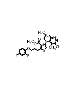 CCCN(c1c(Cl)nnc(Cl)c1C)N1CSC(CCCOc2ccc(I)cc2F)=C1C(=O)OC